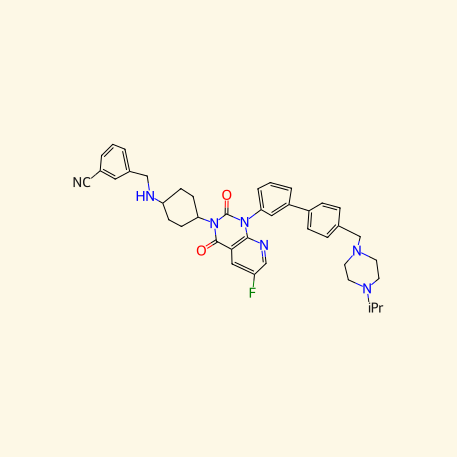 CC(C)N1CCN(Cc2ccc(-c3cccc(-n4c(=O)n(C5CCC(NCc6cccc(C#N)c6)CC5)c(=O)c5cc(F)cnc54)c3)cc2)CC1